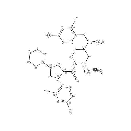 Cc1ccc(C[C@@H](C(=O)O)N2CCN(C(=O)[C@@H]3CN(C4CCOCC4)C[C@H]3c3ccc(Cl)cc3F)[C@@H](C)C2)c(F)c1.Cl.Cl